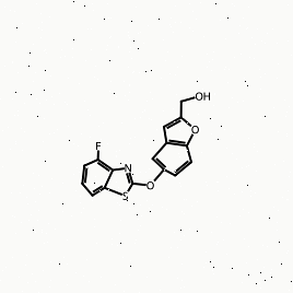 OCc1cc2cc(Oc3nc4c(F)cccc4s3)ccc2o1